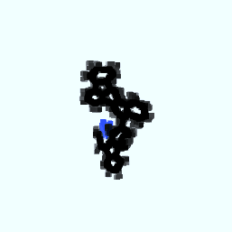 c1ccc2c(c1)-c1ccnc3c(-c4cc5c6cccc7c6c(cc5c5ccccc45)-c4ccccc4-7)ccc-2c13